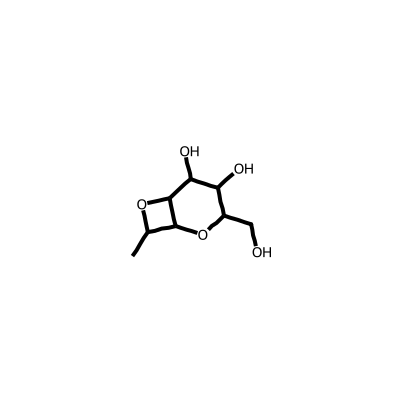 CC1OC2C(O)C(O)C(CO)OC12